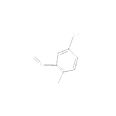 C=Nc1cc(N)ccc1C